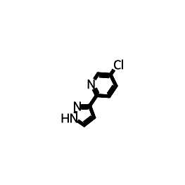 Clc1ccc(-c2cc[nH]n2)nc1